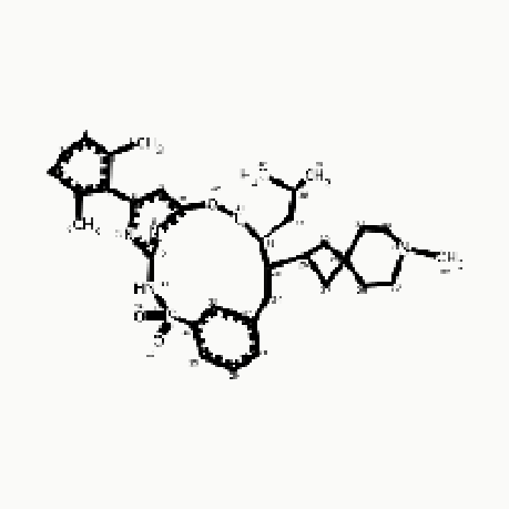 Cc1cccc(C)c1-c1cc2nc(n1)NS(=O)(=O)c1cccc(c1)CC(C1CC3(CCN(C)CC3)C1)[C@H](CC(C)C)CO2